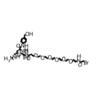 CC(C)[C@H](NC(=O)CCOCCOCCOCCOCCOCCOCCNC(=O)CBr)C(=O)N[C@@H](CCCNN)C(=O)Nc1ccc(CO)cc1